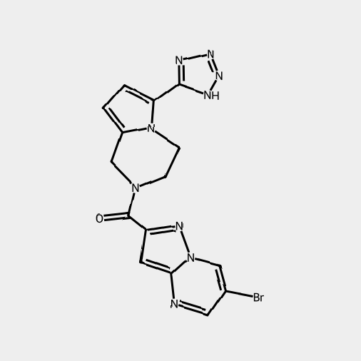 O=C(c1cc2ncc(Br)cn2n1)N1CCn2c(ccc2-c2nnn[nH]2)C1